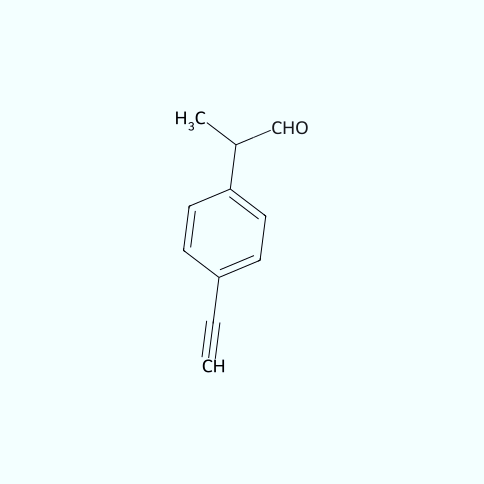 C#Cc1ccc(C(C)C=O)cc1